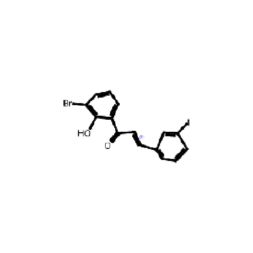 O=C(/C=C/c1cccc(I)c1)c1cccc(Br)c1O